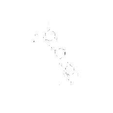 C[C@@H](O)[C@@H](C)Nc1nc(Nc2cccc(Nc3ncc(Br)c(O[C@H](C)[C@@H](C)O)n3)c2)ncc1Br